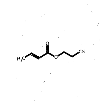 CC=CC(=O)OCCC#N